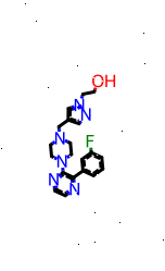 OCCn1cc(CN2CCN(c3nccnc3-c3cccc(F)c3)CC2)cn1